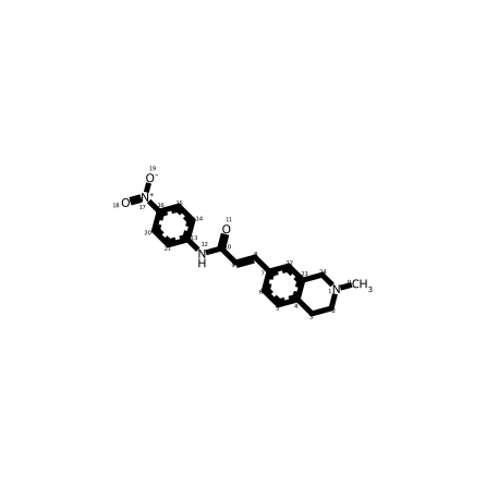 CN1CCc2ccc(/C=C/C(=O)Nc3ccc([N+](=O)[O-])cc3)cc2C1